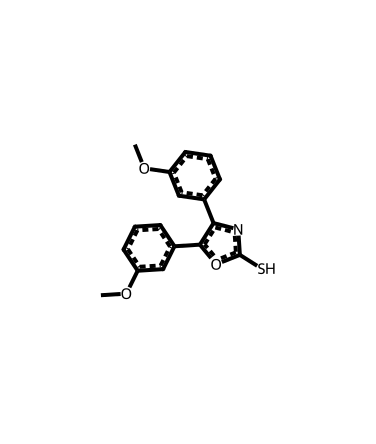 COc1cccc(-c2nc(S)oc2-c2cccc(OC)c2)c1